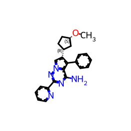 CO[C@H]1CC[C@@H](c2cn3nc(-c4ccccn4)nc(N)c3c2-c2ccccc2)C1